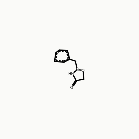 O=C1CON([CH]c2ccccc2)N1